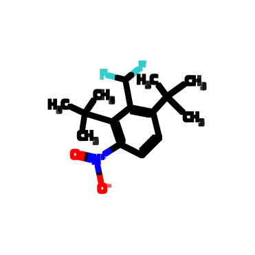 CC(C)(C)c1ccc([N+](=O)[O-])c(C(C)(C)C)c1C(F)F